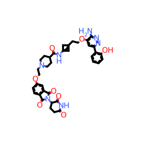 Nc1nnc(-c2ccccc2O)cc1OCCC12CC(NC(=O)C3CCN(CCOc4ccc5c(c4)C(=O)N(C4CCC(=O)NC4=O)C5=O)CC3)(C1)C2